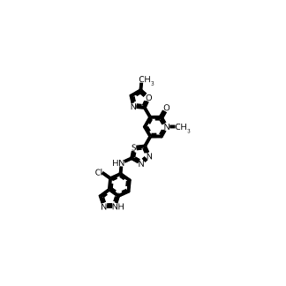 Cc1cnc(-c2cc(-c3nnc(Nc4ccc5[nH]ncc5c4Cl)s3)cn(C)c2=O)o1